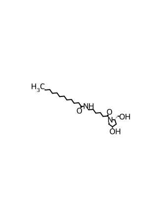 CCCCCCCCCCCC(=O)NCCCCCC(=O)N1C[C@H](O)C[C@H]1CO